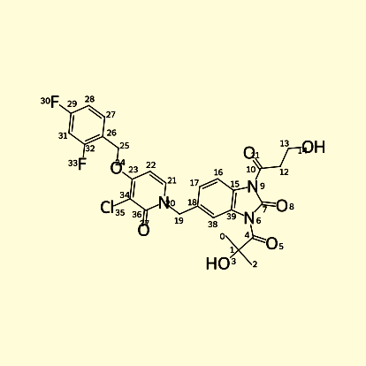 CC(C)(O)C(=O)n1c(=O)n(C(=O)CCO)c2ccc(Cn3ccc(OCc4ccc(F)cc4F)c(Cl)c3=O)cc21